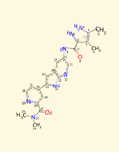 C/C(N)=C(\C)C(=N)C(=O)Nc1cnc2[nH]c(-c3ccnc(C(=O)N(C)C)c3)cc2c1